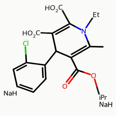 CCN1C(C)=C(C(=O)OC(C)C)C(c2ccccc2Cl)C(C(=O)O)=C1C(=O)O.[NaH].[NaH]